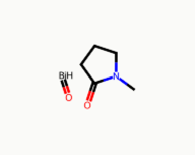 CN1CCCC1=O.[O]=[BiH]